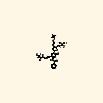 CC(C)(C)SSCOC1C[C@H](n2cc(C#CCNC(=O)C(F)(F)F)c(NC(=O)c3ccccc3)nc2=O)O[C@@H]1COP(=O)(O)O